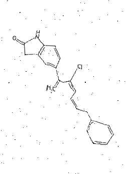 C=C(/C(Cl)=C\C=C/Cc1ccccc1)c1ccc2c(c1)CC(=O)N2